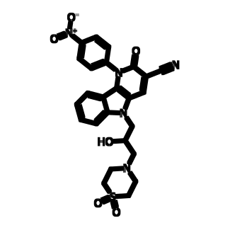 N#Cc1cc2c(c3ccccc3n2CC(O)CN2CCS(=O)(=O)CC2)n(-c2ccc([N+](=O)[O-])cc2)c1=O